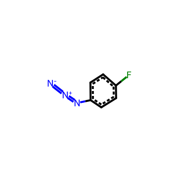 [N-]=[N+]=Nc1ccc(F)cc1